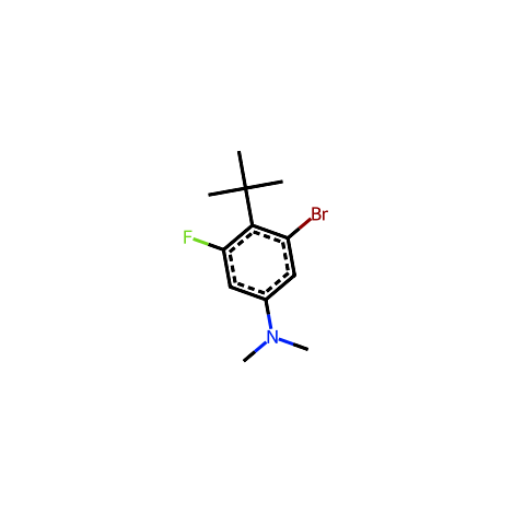 CN(C)c1cc(F)c(C(C)(C)C)c(Br)c1